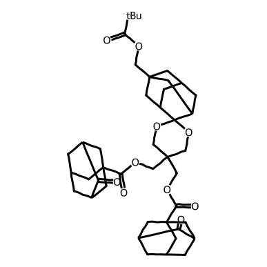 CC(C)(C)C(=O)OCC12CC3CC(C1)C1(OCC(COC(=O)C45CC6CC(C4)C(=O)C(C6)C5)(COC(=O)C45CC6CC(C4)C(=O)C(C6)C5)CO1)C(C3)C2